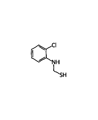 SCNc1ccccc1Cl